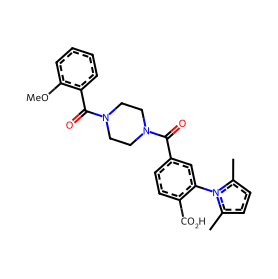 COc1ccccc1C(=O)N1CCN(C(=O)c2ccc(C(=O)O)c(-n3c(C)ccc3C)c2)CC1